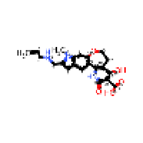 C=CCNCc1cc2cc3c(cc2n1C)OCCc1c-3[nH]c(=O)c(C(=O)O)c1O